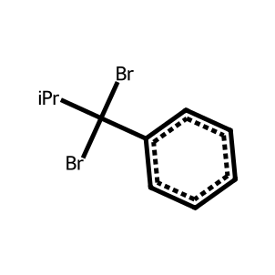 CC(C)C(Br)(Br)c1ccccc1